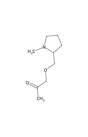 CC(=O)COCC1CCCN1C